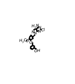 COc1ccc(Cn2ncc3c(N)nc(Cl)nc32)cc1OCc1cccc(CO)c1